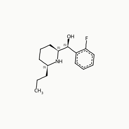 CCC[C@H]1CCC[C@@H]([C@@H](O)c2ccccc2F)N1